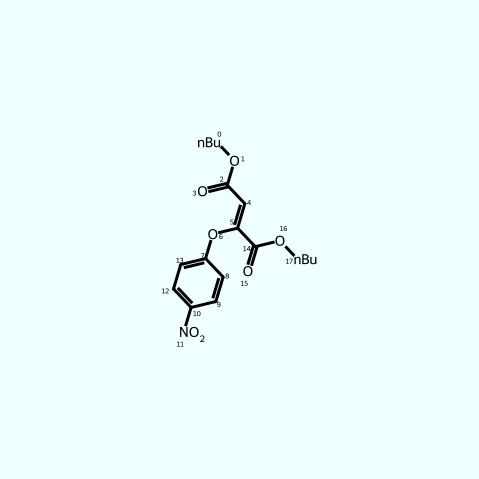 CCCCOC(=O)/C=C(\Oc1ccc([N+](=O)[O-])cc1)C(=O)OCCCC